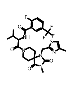 Cc1csc(CN2C(=O)N(C)C(=O)C23CCN(C(=O)C(NC(=O)c2cc(C(F)(F)F)ccc2F)C(C)C)CC3)n1